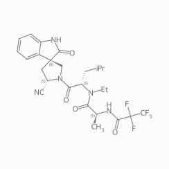 CCN(C(=O)[C@H](C)NC(=O)C(F)(F)C(F)(F)F)[C@@H](CC(C)C)C(=O)N1C[C@]2(C[C@H]1C#N)C(=O)Nc1ccccc12